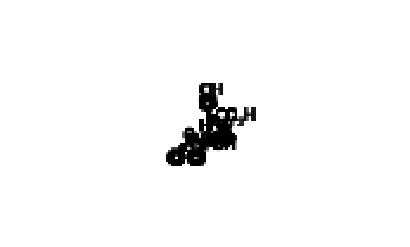 O=C(N[C@H](CP(=O)(O)CC1(C(=O)N[C@@H](Cc2ccc(O)cc2)C(=O)O)CCCC1)c1ccccc1)OCc1ccccc1